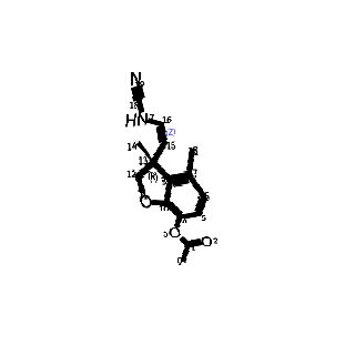 CC(=O)Oc1ccc(C)c2c1OC[C@]2(C)/C=C\NC#N